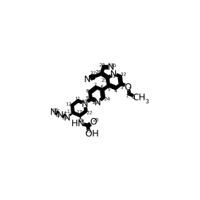 CCOc1cc(-c2ccc(N3CC[C@H](N=[N+]=[N-])[C@@H](NC(=O)O)C3)nc2)c2c(C#N)cnn2c1